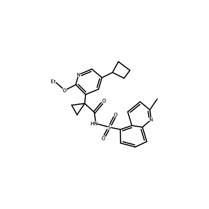 CCOc1ncc(C2CCC2)cc1C1(C(=O)NS(=O)(=O)c2cccc3nc(C)ccc23)CC1